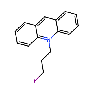 ICCC[n+]1c2ccccc2cc2ccccc21